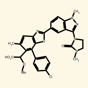 Cc1cc2nc(-c3ccc4c(c3)c(N3CCN(C)C3=O)nn4C)sc2c(-c2ccc(Cl)cc2)c1C(OC(C)(C)C)C(=O)O